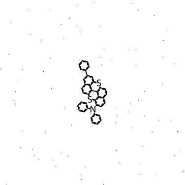 c1ccc(-c2cc3ccc4sc5c(N(c6ccccc6)c6ccccc6)ccc6ccc7sc(c2)c3c4-c7c65)cc1